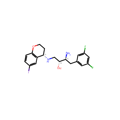 N[C@@H](Cc1cc(F)cc(F)c1)[C@H](O)CN[C@H]1CCOc2ccc(I)cc21